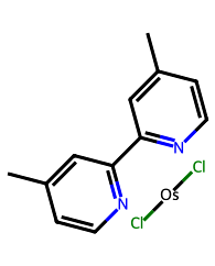 Cc1ccnc(-c2cc(C)ccn2)c1.[Cl][Os][Cl]